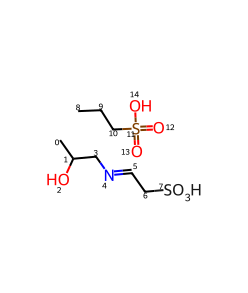 CC(O)CN=CCS(=O)(=O)O.CCCS(=O)(=O)O